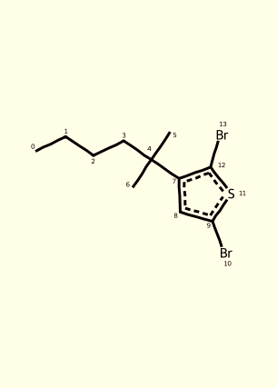 CCCCC(C)(C)c1cc(Br)sc1Br